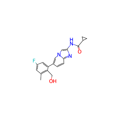 Cc1cc(F)cc(-c2ccc3nc(NC(=O)C4CC4)cn3c2)c1CO